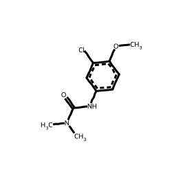 COc1ccc(NC(=O)N(C)C)cc1Cl